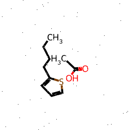 CC(=O)O.CCCCc1cccs1